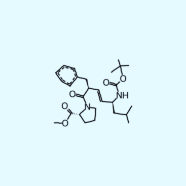 COC(=O)[C@H]1CCCN1C(=O)[C@H](/C=C/[C@H](CC(C)C)NC(=O)OC(C)(C)C)Cc1ccccc1